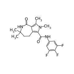 Cc1c2c(c(C(=O)Nc3cc(F)c(F)c(F)c3)n1C)CCC(C)(C)NC2=O